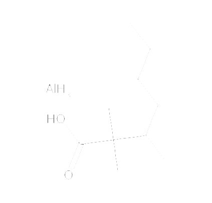 CCCCC(C)C(C)(C)C(=O)O.[AlH3]